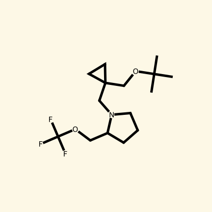 CC(C)(C)OCC1(CN2CCCC2COC(F)(F)F)CC1